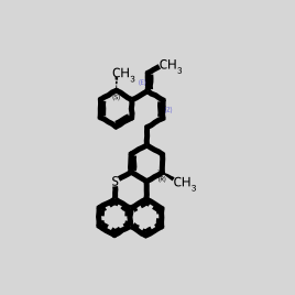 C/C=C(\C=C/CC1C=C2Sc3cccc4cccc(c34)C2[C@H](C)C1)C1C=CC=C[C@@H]1C